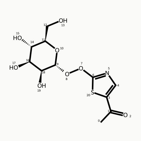 CC(=O)c1cnc(OO[C@H]2O[C@H](CO)[C@@H](O)[C@H](O)[C@@H]2O)s1